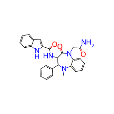 CN1c2ccccc2N(CC(N)=O)C(=O)C(NC(=O)c2cc3ccccc3[nH]2)C1c1ccccc1